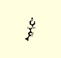 C=N/C=C\C(=C/C)NC(=O)c1cc(C2CC2)on1